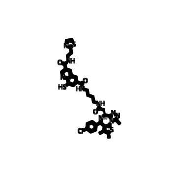 Cc1sc2c(c1C)C(c1ccc(Cl)cc1)=N[C@@H](CC(=O)NCCCCNC(=O)c1cc(S)c3ncc(C(=O)NCCc4nccs4)cc3c1)c1nnc(C)n1-2